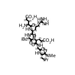 CC[C@H](C)[C@H](NC(=O)[C@H](CCCNC(=N)N)NC(=O)[C@@H](N)CCC(=O)O)C(=O)N[C@@H](CCC(=O)O)C(=O)NCC(=O)N[C@@H](CC(C)C)C(=O)NC